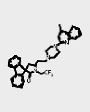 Cc1cc(N2CCN(CCCCC3(C(=O)NCC(F)(F)F)c4ccccc4-c4ccccc43)CC2)nc2ccccc12